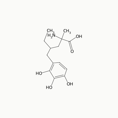 CCC(Cc1ccc(O)c(O)c1O)CC(C)(N)C(=O)O